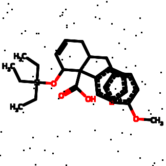 CC[Si](CC)(CC)OC1C=CCC(Cc2ccc(OC)cc2)C1(C(=O)O)c1ccccc1